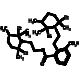 CCC1(C)CCC(C)C(C)(CC)N1CCOC(=O)c1cccc(C(=O)O)c1CCN1C(C)(CC)CCC(C)C1(C)CC